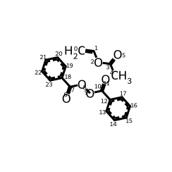 C=COC(C)=O.O=C(OOC(=O)c1ccccc1)c1ccccc1